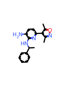 Cc1noc(C)c1-c1ccc(N)c(NC(C)c2ccccc2)n1